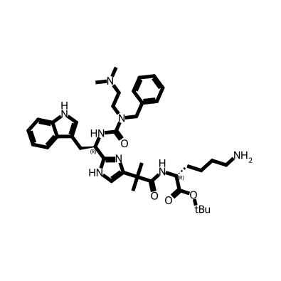 CN(C)CCN(Cc1ccccc1)C(=O)N[C@H](Cc1c[nH]c2ccccc12)c1nc(C(C)(C)C(=O)N[C@H](CCCCN)C(=O)OC(C)(C)C)c[nH]1